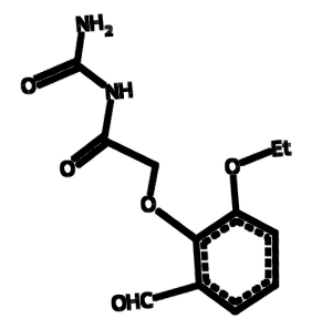 CCOc1cccc(C=O)c1OCC(=O)NC(N)=O